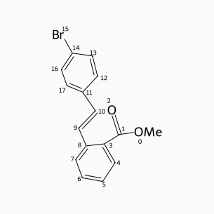 COC(=O)c1ccccc1/C=C/c1ccc(Br)cc1